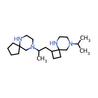 CC(C)N1CCNC2(CCC2CC(C)N2CCNC3(CCCC3)C2)C1